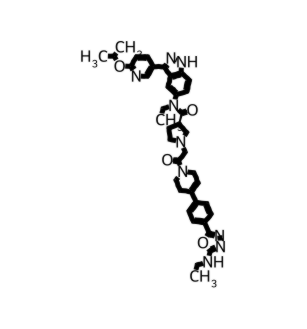 CCNc1nnc(-c2ccc(C3=CCN(C(=O)CN4CC[C@@H](C(=O)N(CC)c5ccc6[nH]nc(-c7ccc(OC(C)C)nc7)c6c5)C4)CC3)cc2)o1